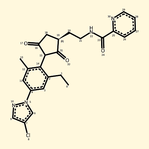 CCc1cc(-n2cc(Cl)cn2)cc(C)c1C1C(=O)C[C@@H](CCNC(=O)c2ccccn2)C1=O